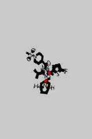 Cc1nnc(C(C)C)n1[C@@H]1C[C@H]2CC[C@@H](C1)N2CC[C@H](NC(=O)C1CCN(S(C)(=O)=O)CC1)c1ccc(F)s1